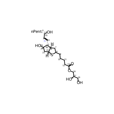 CCCCC[C@H](O)/C=C/[C@@H]1[C@H]2CC(CCCCC(=O)OCC(O)CO)S[C@@H]2C[C@H]1O